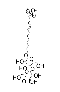 CO[Si](CCCSCCCCCCCCO[C@@H]1O[C@H](CO)[C@H](O[C@@H]2O[C@H](CO)[C@@H](O)[C@H](O)[C@H]2O)[C@H](O)[C@H]1O)(OC)OC